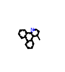 Cc1ccnc2c3ccccc3c3ccccc3c12